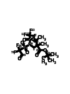 CC(=O)C(C)(CN(S(=O)(=O)C(F)(F)F)S(=O)(=O)C(F)(F)C=O)C(=O)OC(C)(C)C